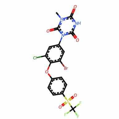 Cn1c(=O)[nH]c(=O)n(-c2cc(Cl)c(Oc3ccc(S(=O)(=O)C(F)(F)F)cc3)c(Br)c2)c1=O